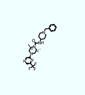 C[C@@H]1CN(c2cncc(C(F)(F)F)n2)C[C@@H](C)N1C(=O)NC1CCN(Cc2ccccc2)CC1